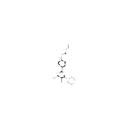 CCNC(=O)Nc1ccc(-c2nc(CC)c(C)c(N3CCOCC3)n2)cc1